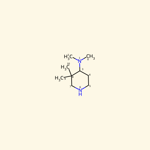 CN(C)C1CCNCC1(C)C